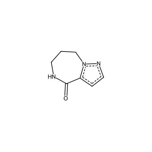 O=C1NCCCn2nccc21